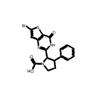 O=C(O)N1CCC(c2ccccc2)C1c1nc2cc(Br)sc2c(=O)[nH]1